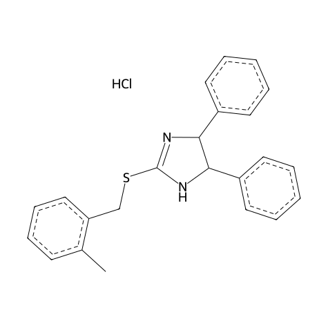 Cc1ccccc1CSC1=NC(c2ccccc2)C(c2ccccc2)N1.Cl